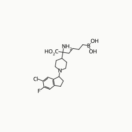 NC(CCCCB(O)O)(C(=O)O)C1CCN(C2CCc3cc(F)c(Cl)cc32)CC1